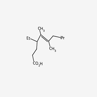 CCC(CCC(=O)O)/C(C)=C(\C)CC(C)C